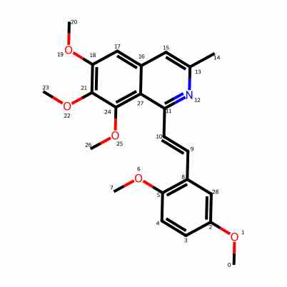 COc1ccc(OC)c(/C=C/c2nc(C)cc3cc(OC)c(OC)c(OC)c23)c1